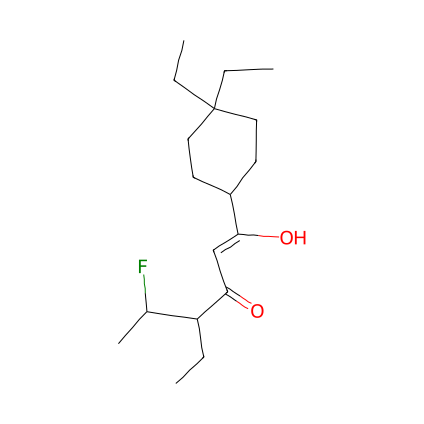 CCC(C(=O)/C=C(\O)C1CCC(CC)(CC)CC1)C(C)F